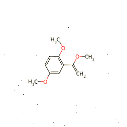 C=C(OC)c1cc(OC)ccc1OC